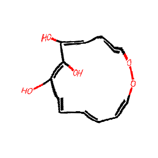 OC1=C\C=C/OO/C=C\C=C\C=C\C(O)=C\1O